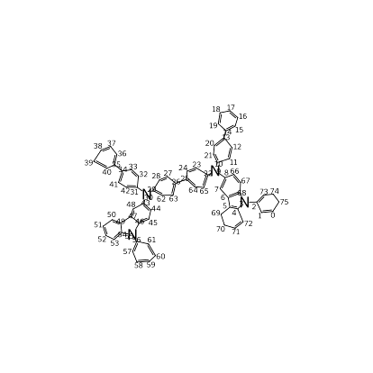 C1=CC(n2c3c(c4cc(N(c5ccc(-c6ccccc6)cc5)c5ccc(-c6ccc(N(c7ccc(-c8ccccc8)cc7)c7ccc8c(c7)c7ccccc7n8-c7ccccc7)cc6)cc5)ccc42)CCC=C3)=CCC1